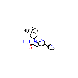 C[Si]1(C)CCC(n2c(C(N)=O)cc3cc(-c4cccnc4)cnc32)CC1